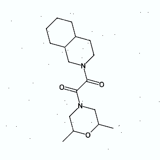 CC1CN(C(=O)C(=O)N2CCC3CCCCC3C2)CC(C)O1